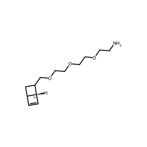 NCCOCCOCCOCC1CC2C=C[C@H]21